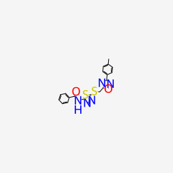 Cc1ccc(-c2noc(CSc3nnc(NC(=O)c4ccccc4)s3)n2)cc1